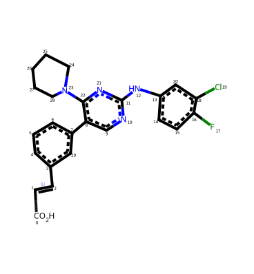 O=C(O)/C=C/c1cccc(-c2cnc(Nc3ccc(F)c(Cl)c3)nc2N2CCCCC2)c1